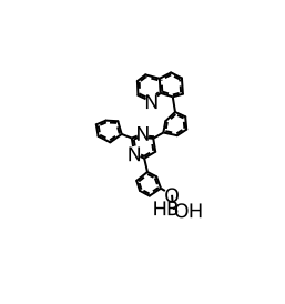 OBOc1cccc(-c2cc(-c3cccc(-c4cccc5cccnc45)c3)nc(-c3ccccc3)n2)c1